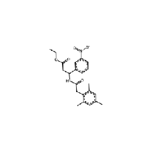 CCOC(=O)CC(NC(=O)Cc1c(C)cc(C)cc1C)c1cccc([N+](=O)[O-])c1